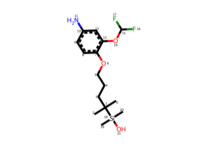 CC(C)(CCCOc1ccc(N)cc1OC(F)F)[Si](C)(C)O